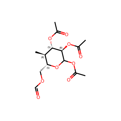 CC(=O)OC1O[C@H](COC=O)[C@@H](C)[C@H](OC(C)=O)[C@H]1OC(C)=O